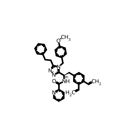 C=Cc1ccc(C[C@@H](NC(=O)c2ccccn2)c2nnc(CCc3ccccc3)n2Cc2ccc(OC)cc2)cc1C=C